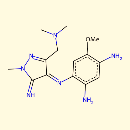 COc1cc(N=C2C(=N)N(C)N=C2CN(C)C)c(N)cc1N